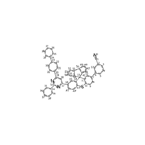 N#Cc1cccc(-c2ccc3c(c2)C2(c4cc(-c5cc(-c6ccc(-c7ccccc7)cc6)nc(-c6ccccc6)n5)ccc4S3)c3ccccc3-c3ccccc32)c1